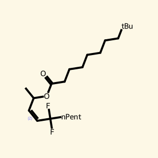 CCCCCC(F)(F)/C=C\C(C)OC(=O)CCCCCCCC(C)(C)C